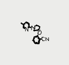 Cc1ccc(N2CC[C@H](Oc3ccccc3C#N)C2)nc1